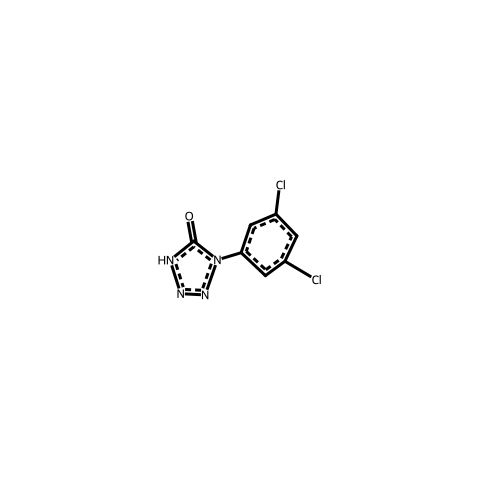 O=c1[nH]nnn1-c1cc(Cl)cc(Cl)c1